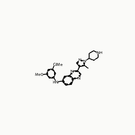 COc1cc(Nc2ccc3ncc(-c4cnn(C5CCNCC5)c4C)nc3c2)cc(OC)c1